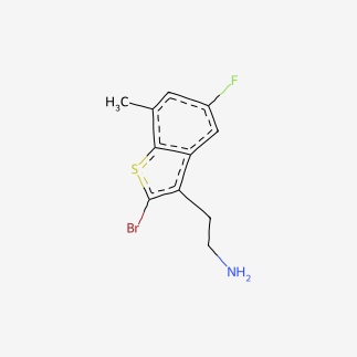 Cc1cc(F)cc2c(CCN)c(Br)sc12